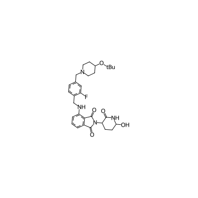 CC(C)(C)OC1CCN(Cc2ccc(CNc3cccc4c3C(=O)N(C3CCC(O)NC3=O)C4=O)c(F)c2)CC1